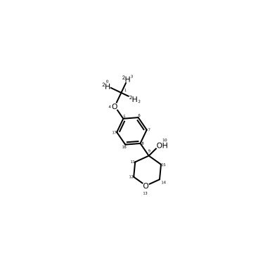 [2H]C([2H])([2H])Oc1ccc(C2(O)CCOCC2)cc1